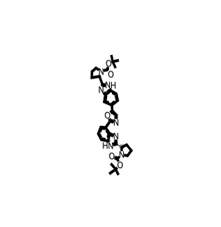 CC(C)(C)OC(=O)N1CCCC1c1nc2cc(-c3cnc(-c4cccc5[nH]c([C@@H]6CCCN6C(=O)OC(C)(C)C)nc45)o3)ccc2[nH]1